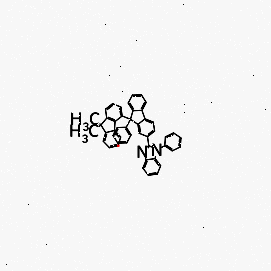 CC1(C)c2ccccc2-c2c1cccc2C1(c2ccccc2)c2ccccc2-c2ccc(-c3nc4ccccc4n3-c3ccccc3)cc21